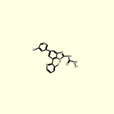 CCNC(=O)Nc1nc2cc(-c3cncc(Cl)c3)cc(-c3ncccc3F)c2[nH]1